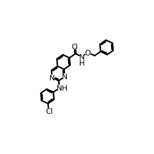 O=C(NOCc1ccccc1)c1ccc2cnc(Nc3cccc(Cl)c3)nc2c1